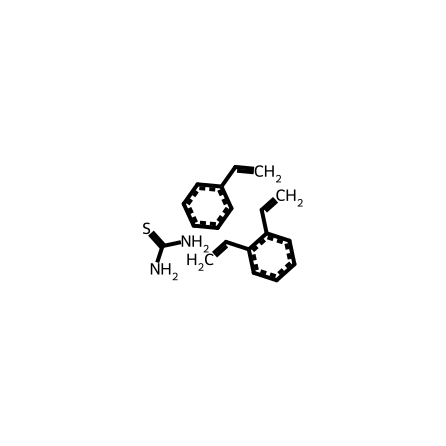 C=Cc1ccccc1.C=Cc1ccccc1C=C.NC(N)=S